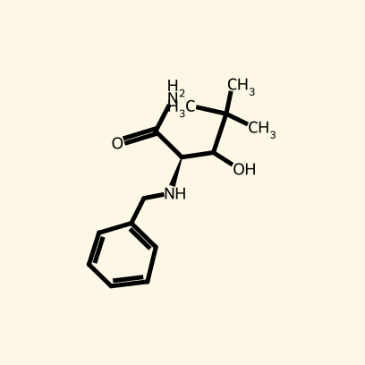 CC(C)(C)C(O)[C@@H](NCc1ccccc1)C(N)=O